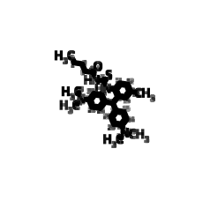 CCCCC(=O)NC(=S)Nc1ccc(C)cc1C(c1ccc(N(C)C)cc1)c1ccc(N(C)C)cc1